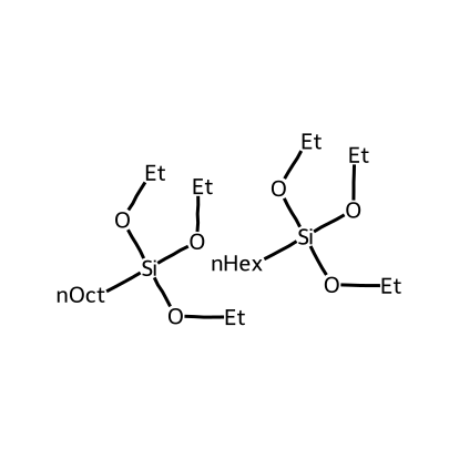 CCCCCCCC[Si](OCC)(OCC)OCC.CCCCCC[Si](OCC)(OCC)OCC